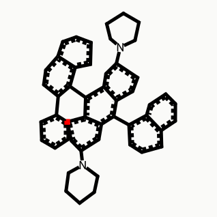 c1ccc(-c2ccc3ccccc3c2-c2c3ccc(N4CCCCC4)cc3c(-c3cccc4ccccc34)c3ccc(N4CCCCC4)cc23)cc1